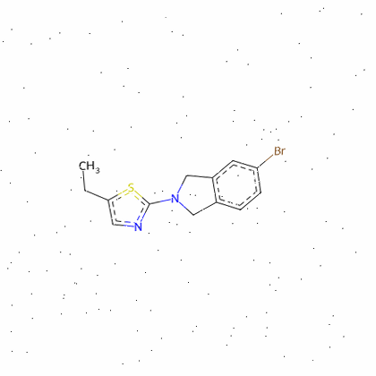 CCc1cnc(N2Cc3ccc(Br)cc3C2)s1